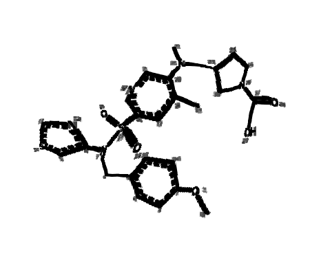 COc1ccc(CN(c2cscn2)S(=O)(=O)c2cc(C)c(N(C)[C@H]3CCN(C(=O)O)C3)cn2)cc1